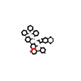 Cc1cc2c3c(c1)N(c1ccc(C(C)(C)C)cc1-c1ccccc1)c1c(sc4cc5c(cc14)C(C)(C)CCC5(C)C)B3N1c3ccccc3[Si](c3ccccc3)(c3ccccc3)c3cccc-2c31